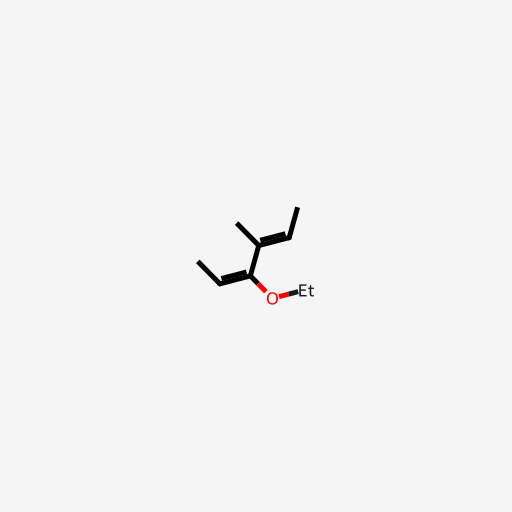 CC=C(C)C(=CC)OCC